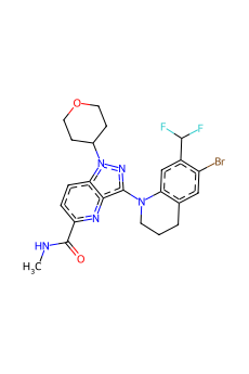 CNC(=O)c1ccc2c(n1)c(N1CCCc3cc(Br)c(C(F)F)cc31)nn2C1CCOCC1